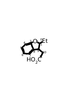 CCC1Oc2ccccc2C1CC(=O)O